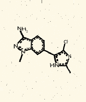 Cc1nc(Cl)c(-c2ccc3c(N)nn(C)c3c2)[nH]1